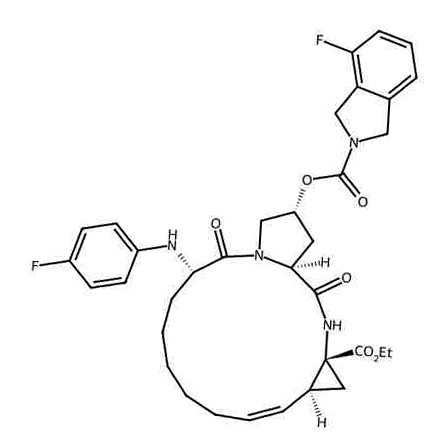 CCOC(=O)[C@@]12C[C@H]1/C=C\CCCCC[C@H](Nc1ccc(F)cc1)C(=O)N1C[C@H](OC(=O)N3Cc4cccc(F)c4C3)C[C@H]1C(=O)N2